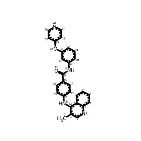 Cc1cnc2ccccc2c1Nc1ccc(C(=O)Nc2cccc(Oc3ccncc3)c2)cc1